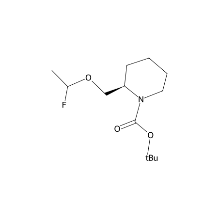 CC(F)OC[C@H]1CCCCN1C(=O)OC(C)(C)C